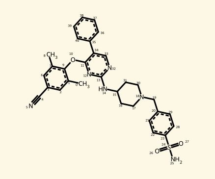 Cc1cc(C#N)cc(C)c1Oc1nc(NC2CCN(Cc3ccc(S(N)(=O)=O)cc3)CC2)ncc1-c1ccccc1